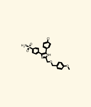 COc1ccc(COCc2nc(-c3ccc(S(N)(=O)=O)cc3)c(-c3ccc(Cl)cc3)[nH]2)cc1